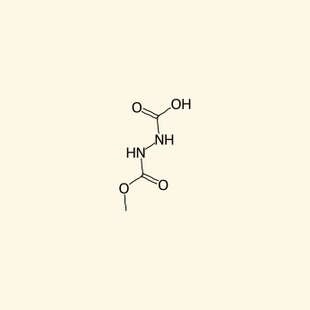 COC(=O)NNC(=O)O